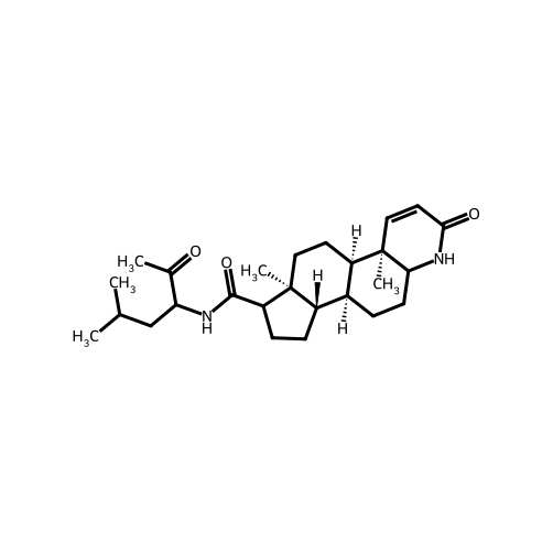 CC(=O)C(CC(C)C)NC(=O)C1CC[C@H]2[C@@H]3CCC4NC(=O)C=C[C@]4(C)[C@@H]3CC[C@]12C